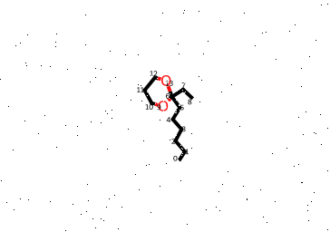 CCCCCCC1(CC)OCCCO1